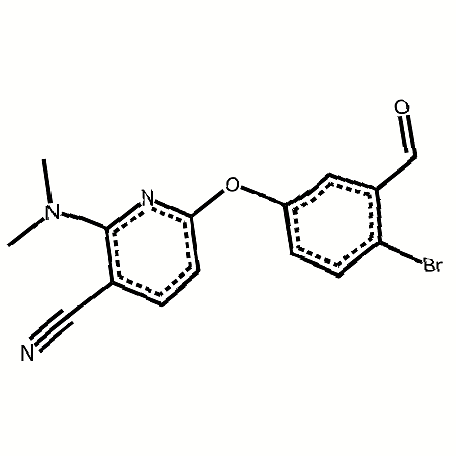 CN(C)c1nc(Oc2ccc(Br)c(C=O)c2)ccc1C#N